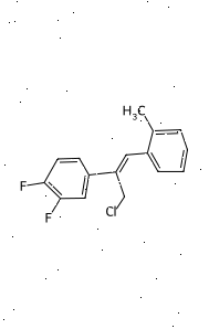 Cc1ccccc1C=C(CCl)c1ccc(F)c(F)c1